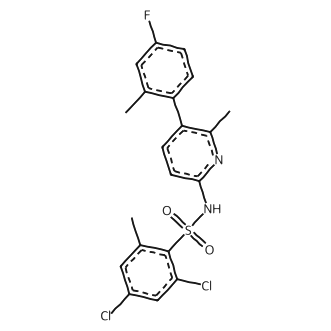 Cc1cc(F)ccc1-c1ccc(NS(=O)(=O)c2c(C)cc(Cl)cc2Cl)nc1C